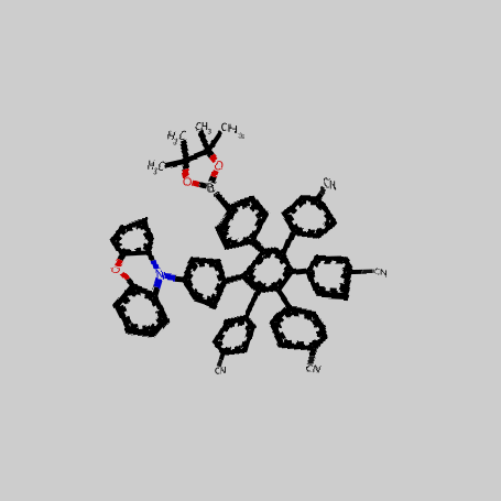 CC1(C)OB(c2ccc(-c3c(-c4ccc(C#N)cc4)c(-c4ccc(C#N)cc4)c(-c4ccc(C#N)cc4)c(-c4ccc(C#N)cc4)c3-c3ccc(N4c5ccccc5Oc5ccccc54)cc3)cc2)OC1(C)C